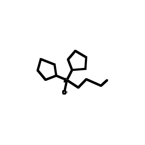 CCCC[Si]([O])(C1CCCC1)C1CCCC1